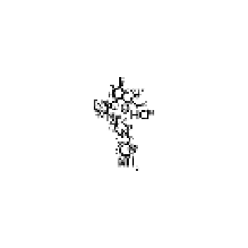 CCN(C(=O)c1cc(F)ccc1Oc1cncnc1N1CC2(CCN(C[C@@H]3CC[C@@H](N)CO3)CC2)C1)C(C)C.Cl